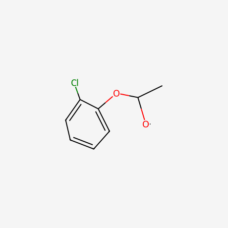 CC([O])Oc1ccccc1Cl